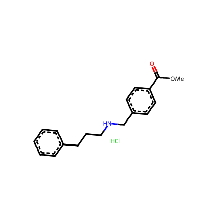 COC(=O)c1ccc(CNCCCc2ccccc2)cc1.Cl